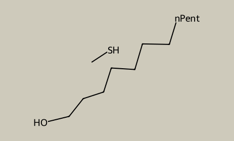 CCCCCCCCCCCCO.CS